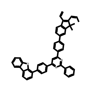 C=CC1=C(/C=C\C)C(C)(C)c2cc(-c3ccc(-c4cc(-c5ccc(-c6cccc7c6oc6ccccc67)cc5)nc(-c5ccccc5)n4)cc3)ccc21